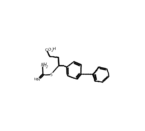 N=C(N)SC(CCC(=O)O)c1ccc(-c2ccccc2)cc1